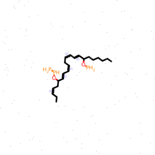 CC/C=C\CC(/C=C/C=C\C/C=C\C=C\C(CCCCCC)OP)OPP